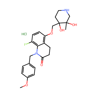 COc1ccc(CN2C(=O)CCc3c(OCC4(O)CCNCC4(C)O)ccc(F)c32)cc1.Cl